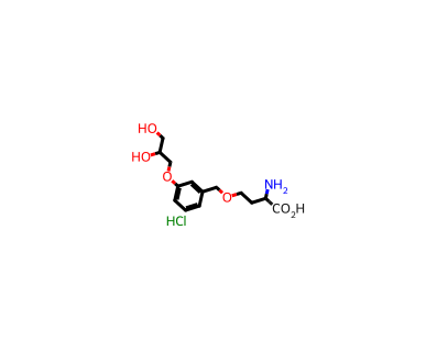 Cl.NC(CCOCc1cccc(OCC(O)CO)c1)C(=O)O